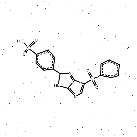 CS(=O)(=O)c1ccc(C2N=C3C(S(=O)(=O)c4ccccc4)=CN=C3N2)cc1